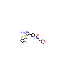 CC(Oc1cc(-c2ccc(C(=O)NCCC3CCOCC3)cc2)cnc1N)c1c(Cl)ccc(F)c1Cl